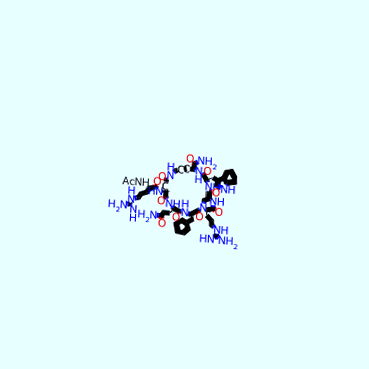 CC(=O)N[C@@H](CCCNC(=N)N)C(=O)N[C@H]1CC(=O)NCCCC(C(N)=O)NC(=O)[C@H](Cc2c[nH]c3ccccc23)NC(=O)[C@H]2CN(C(=O)[C@@H](Cc3ccccc3)NC(=O)[C@H](CCC(N)=O)NC1=O)[C@@H](CCCNC(=N)N)C(=O)N2